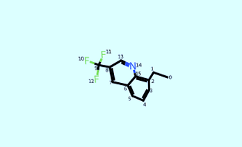 CCc1cccc2cc(C(F)(F)F)cnc12